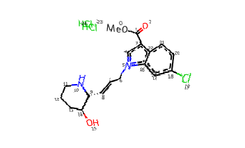 COC(=O)c1cn(C/C=C/[C@H]2NCCC[C@@H]2O)c2cc(Cl)ccc12.Cl.Cl